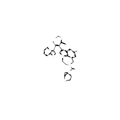 O=C1NCOCC(c2cnc3ccccn23)=C1c1cn2c3c(cc(F)cc13)CN(C(=O)N1CC3CC1CN3)CC2